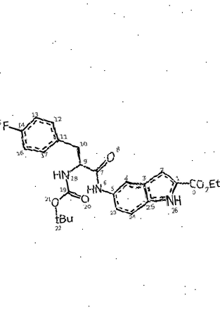 CCOC(=O)c1cc2cc(NC(=O)[C@H](Cc3ccc(F)cc3)NC(=O)OC(C)(C)C)ccc2[nH]1